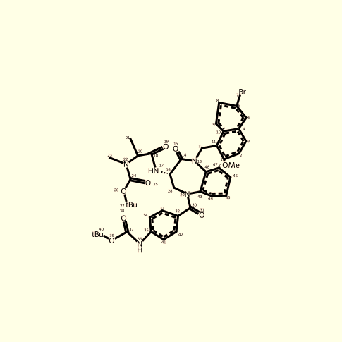 COc1ccc2cc(Br)ccc2c1CN1C(=O)[C@@H](NC(=O)C(C)N(C)C(=O)OC(C)(C)C)CN(C(=O)c2ccc(NC(=O)OC(C)(C)C)cc2)c2ccccc21